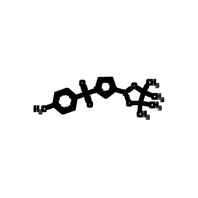 Cc1ccc(S(=O)(=O)n2ccc(B3OC(C)(C)C(C)(C)O3)c2)cc1